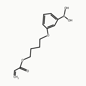 C=CC(=O)OCCCCOc1cccc(B(O)O)c1